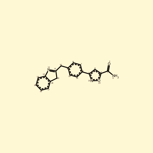 NC(=O)c1cc(-c2ccc(CC3=Nc4ccccc4C3)cc2)no1